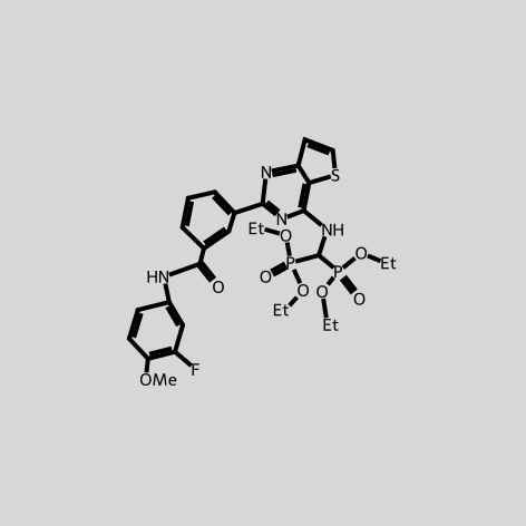 CCOP(=O)(OCC)C(Nc1nc(-c2cccc(C(=O)Nc3ccc(OC)c(F)c3)c2)nc2ccsc12)P(=O)(OCC)OCC